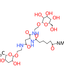 CNC(=O)CCCCC(=O)NC(CC(=O)NCCO[C@@H]1O[C@@H](C)[C@@H](O)C[C@@H]1O)C(=O)NCCO[C@H]1O[C@H](CO)[C@@H](O)[C@H](O)[C@@H]1O